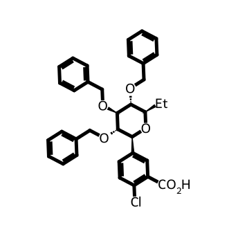 CC[C@H]1O[C@@H](c2ccc(Cl)c(C(=O)O)c2)[C@H](OCc2ccccc2)[C@@H](OCc2ccccc2)[C@@H]1OCc1ccccc1